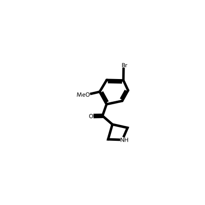 COc1cc(Br)ccc1C(=O)C1CNC1